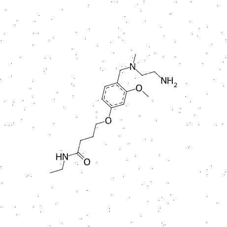 CCNC(=O)CCCOc1ccc(CN(C)CCN)c(OC)c1